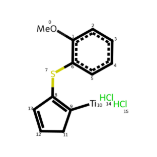 COc1ccccc1SC1=[C]([Ti])CC=C1.Cl.Cl